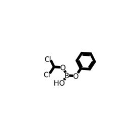 OB(Oc1ccccc1)OC(Cl)Cl